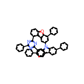 c1ccc(-c2ccc3c4ccc(-c5ccccc5)cc4n(-c4cc(-c5ccccc5)c5oc6cccc(-c7nc(-c8ccccc8)nc(-c8ccccc8)n7)c6c5c4)c3c2)cc1